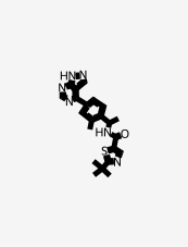 Cc1cc(-c2ncnc3[nH]ncc23)ccc1C(C)NC(=O)c1cnc(C(C)(C)C)s1